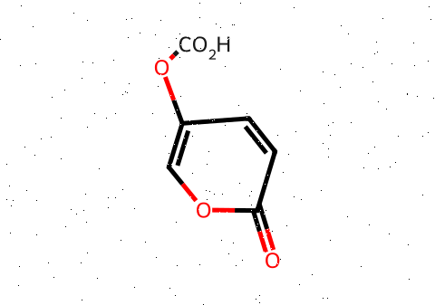 O=C(O)Oc1ccc(=O)oc1